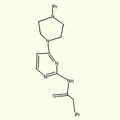 CC(C)CC(=O)Nc1nccc(N2CCN(C(C)C)CC2)n1